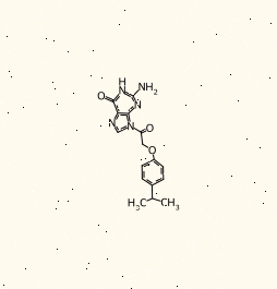 CC(C)c1ccc(OCC(=O)n2cnc3c(=O)[nH]c(N)nc32)cc1